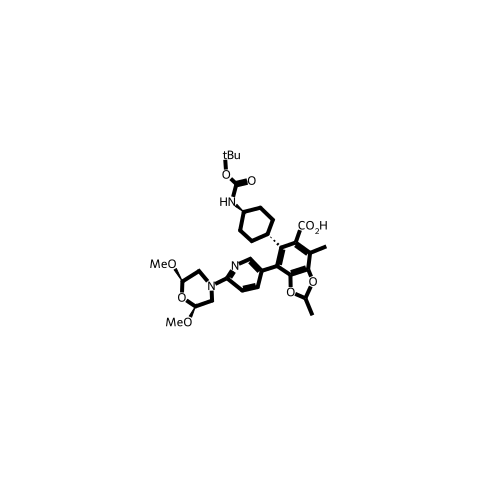 CO[C@H]1CN(c2ccc(-c3c4c(c(C)c(C(=O)O)c3[C@H]3CC[C@H](NC(=O)OC(C)(C)C)CC3)OC(C)O4)cn2)C[C@@H](OC)O1